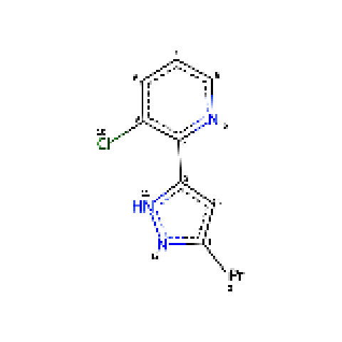 CC(C)c1[c]c(-c2ncccc2Cl)[nH]n1